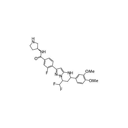 COc1ccc(C2CC(C(F)F)n3nc(-c4ccc(C(=O)N[C@H]5CCNC5)cc4F)cc3N2)cc1OC